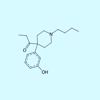 CCCCN1CCC(C(=O)CC)(c2cccc(O)c2)CC1